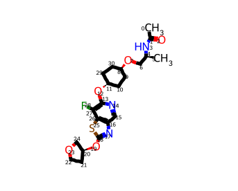 CC(=O)N[C@@H](C)CO[C@H]1CC[C@H](Oc2ncc3nc(O[C@H]4CCOC4)sc3c2F)CC1